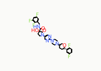 O=C(NCc1cc(F)cc(F)c1F)C1(O)CCN(c2cnc(N3CCN([C@@H]4CC[C@@H](c5cc(F)ccc5F)OC4)CC3)nc2)C1=O